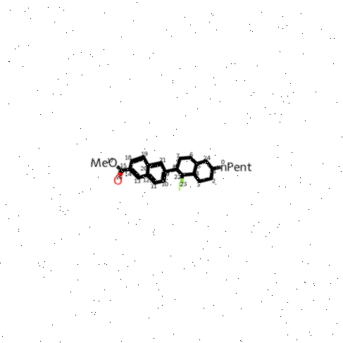 CCCCCC1CCC2C(CCC(c3ccc4cc(C(=O)OC)ccc4c3)C2F)C1